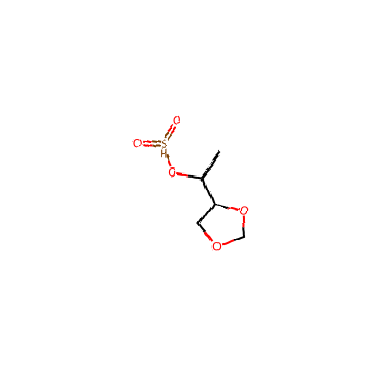 CC(O[SH](=O)=O)C1COCO1